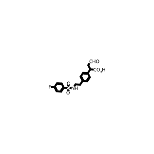 O=CCC(C(=O)O)c1ccc(CCNS(=O)(=O)c2ccc(F)cc2)cc1